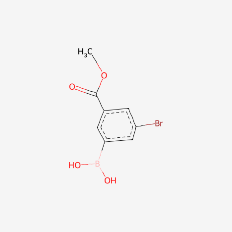 COC(=O)c1cc(Br)cc(B(O)O)c1